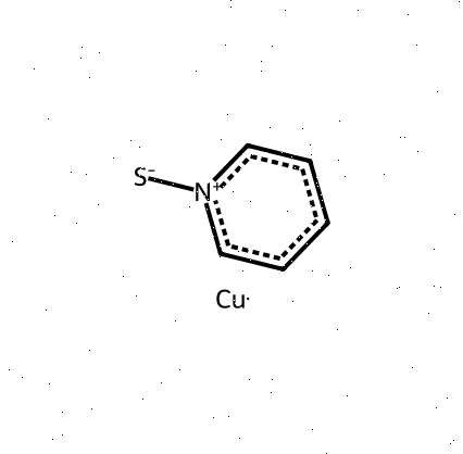 [Cu].[S-][n+]1ccccc1